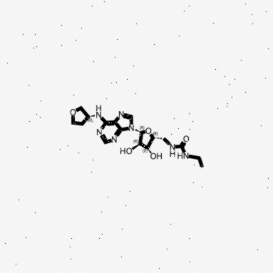 CCNC(=O)NC[C@H]1O[C@@H](n2cnc3c(N[C@@H]4CCOC4)ncnc32)[C@H](O)[C@H]1O